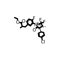 CCOC(=O)C(C)Cc1ccc(F)c(NC(=O)[C@H](C2C=CC(Cl)=CC2)[C@@H](C)C(F)(F)F)c1